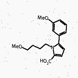 COCCCCn1c(C(=O)O)ccc1-c1cccc(OC)c1